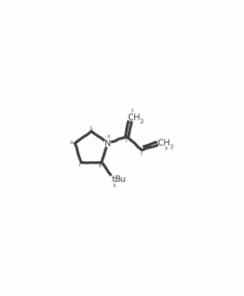 C=CC(=C)N1CCCC1C(C)(C)C